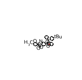 Cc1ccc(S(=O)(=O)Oc2ccc(S(=O)(=O)OS(c3ccccc3)(c3ccccc3)c3ccc(C(C)(C)C)cc3)cc2[N+](=O)[O-])cc1